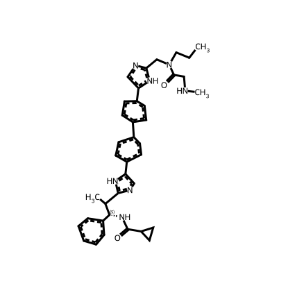 CCCN(Cc1ncc(-c2ccc(-c3ccc(-c4cnc(C(C)[C@H](NC(=O)C5CC5)c5ccccc5)[nH]4)cc3)cc2)[nH]1)C(=O)CNC